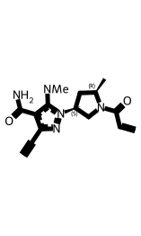 C#Cc1nn([C@H]2C[C@@H](C)N(C(=O)C=C)C2)c(NC)c1C(N)=O